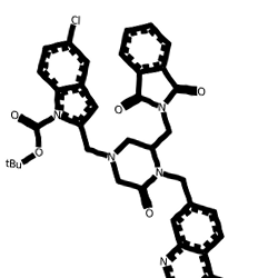 CC(C)(C)OC(=O)n1c(CN2CC(=O)N(Cc3ccc4c(N)ncnc4c3)C(CN3C(=O)c4ccccc4C3=O)C2)cc2cc(Cl)ccc21